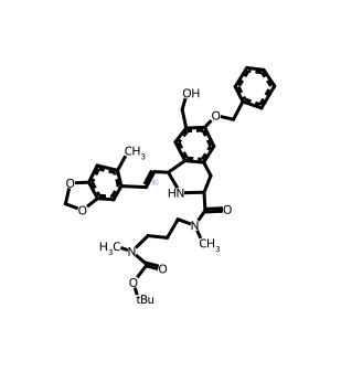 Cc1cc2c(cc1/C=C/C1NC(C(=O)N(C)CCCN(C)C(=O)OC(C)(C)C)Cc3cc(OCc4ccccc4)c(CO)cc31)OCO2